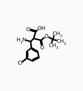 CC(C)(C)OC(=O)C(C(=O)O)C(N)c1cccc(Cl)c1